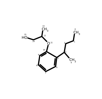 CCCC(C)c1ccccc1OC(C)CO